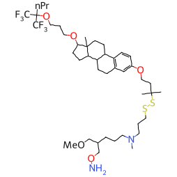 CCCC(OCCCOC1CCC2C3CCc4cc(OCCC(C)(C)SSCCCN(C)CCCC(COC)CON)ccc4C3CCC12C)(C(F)(F)F)C(F)(F)F